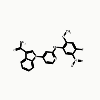 COc1cc(F)c([N+](=O)[O-])cc1Nc1cc(-n2cc(C(N)=O)c3ccccc32)ccn1